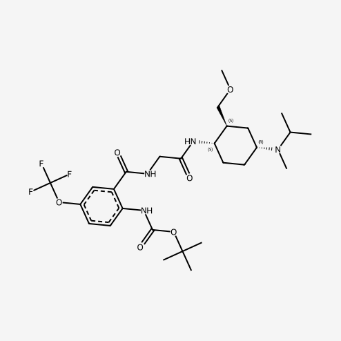 COC[C@H]1C[C@H](N(C)C(C)C)CC[C@@H]1NC(=O)CNC(=O)c1cc(OC(F)(F)F)ccc1NC(=O)OC(C)(C)C